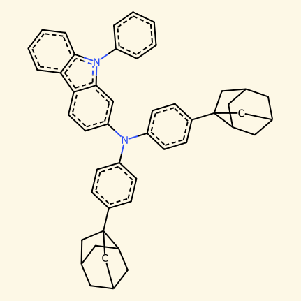 c1ccc(-n2c3ccccc3c3ccc(N(c4ccc(C56CC7CC(CC5C7)C6)cc4)c4ccc(C56CC7CC(CC5C7)C6)cc4)cc32)cc1